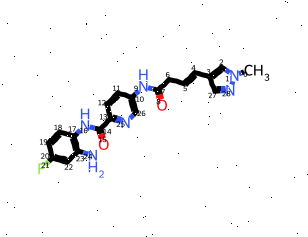 Cn1cc(/C=C/CC(=O)Nc2ccc(C(=O)Nc3ccc(F)cc3N)nc2)cn1